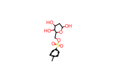 Cc1ccc(S(=O)(=O)OCC2OC(O)CC(O)C2O)cc1